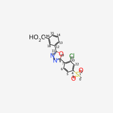 CS(=O)(=O)c1ccc(-c2nnc(-c3cccc(C(=O)O)c3)o2)c(Cl)c1